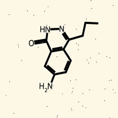 CCCc1n[nH]c(=O)c2cc(N)ccc12